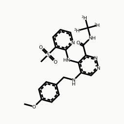 [2H]C([2H])([2H])NC(=O)c1nncc(NCc2ccc(OC)cc2)c1Nc1ncccc1S(C)(=O)=O